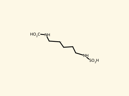 O=C(O)NC[CH]CCCNS(=O)(=O)O